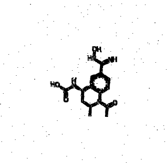 CC(=O)N1c2ccc(C(=N)NO)cc2[C@H](NC(=O)O)C[C@@H]1C